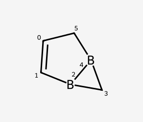 C1=CB2CB2C1